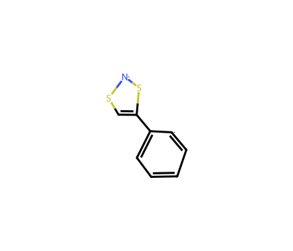 [c]1ccccc1C1=CS[N]S1